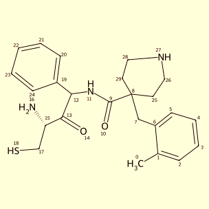 Cc1ccccc1CC1(C(=O)NC(C(=O)[C@@H](N)CS)c2ccccc2)CCNCC1